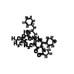 Cn1c(NCC(Cc2ccccc2)NC(=O)OC(C)(C)C)nc(-c2ccncc2)c(N2CCCC2=O)c1=O